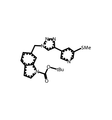 CSc1cncc(-c2cn(Cc3ccc4ccn(C(=O)OC(C)(C)C)c4c3)nn2)c1